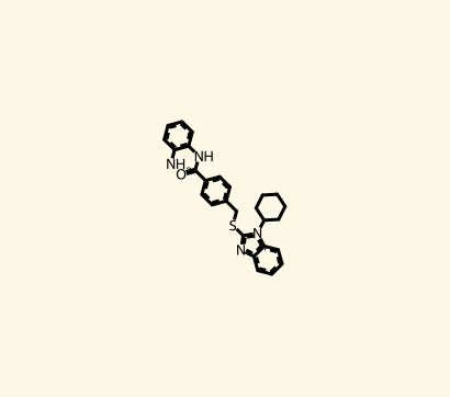 Nc1ccccc1NC(=O)c1ccc(CSc2nc3ccccc3n2C2CCCCC2)cc1